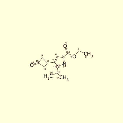 CCOC(=O)c1cc(C2CC(=O)C2)n(C(C)C)n1